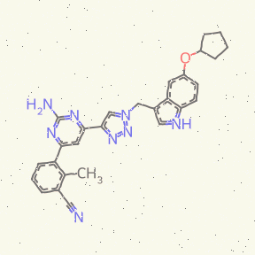 Cc1c(C#N)cccc1-c1cc(-c2cn(Cc3c[nH]c4ccc(OC5CCCC5)cc34)nn2)nc(N)n1